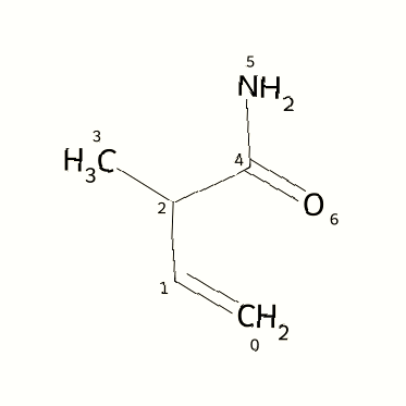 C=CC(C)C(N)=O